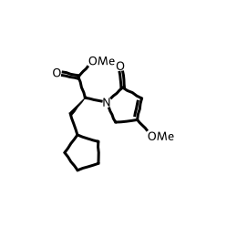 COC(=O)[C@H](CC1CCCC1)N1CC(OC)=CC1=O